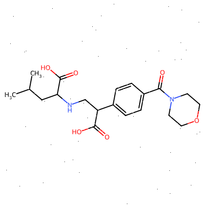 CC(C)CC(NCC(C(=O)O)c1ccc(C(=O)N2CCOCC2)cc1)C(=O)O